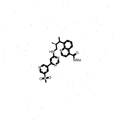 CNC(=O)c1ccnc2c(C(C)[C@H](C)CNc3cc(-c4cncc(S(C)(=O)=O)c4)ncn3)cccc12